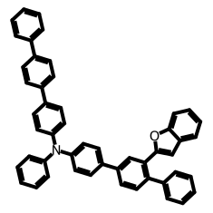 c1ccc(-c2ccc(-c3ccc(N(c4ccccc4)c4ccc(-c5ccc(-c6ccccc6)c(-c6cc7ccccc7o6)c5)cc4)cc3)cc2)cc1